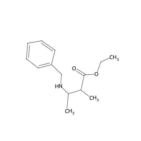 CCOC(=O)C(C)C(C)NCc1ccccc1